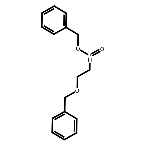 O=[PH](CCOCc1ccccc1)OCc1ccccc1